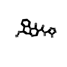 CCOc1cc2ncc(C(=O)Nc3nnn[nH]3)c(=O)n2c2ccccc12